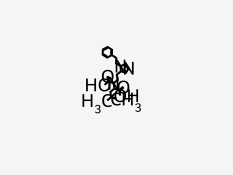 CC(C)CC(C(=O)O)N(CCc1cncn1CCc1ccccc1)C(=O)O